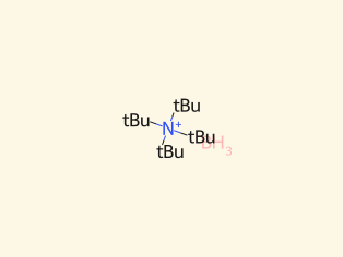 B.CC(C)(C)[N+](C(C)(C)C)(C(C)(C)C)C(C)(C)C